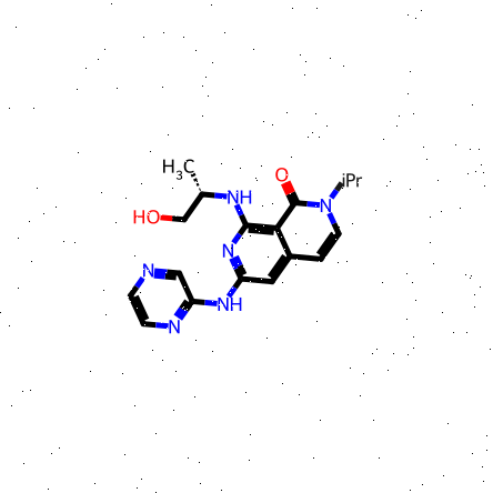 CC(C)n1ccc2cc(Nc3cnccn3)nc(N[C@@H](C)CO)c2c1=O